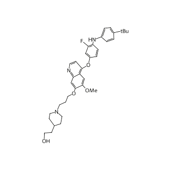 COc1cc2c(Oc3ccc(Nc4ccc(C(C)(C)C)cc4)c(F)c3)ccnc2cc1OCCCN1CCC(CCO)CC1